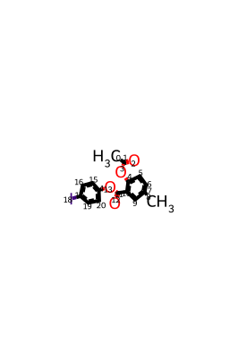 CC(=O)Oc1ccc(C)cc1C(=O)Oc1ccc(I)cc1